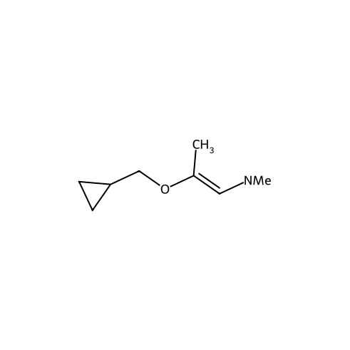 CN/C=C(\C)OCC1CC1